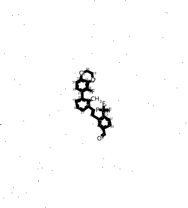 Cc1c(/C=C/c2cc(C=O)ccc2C(F)(F)F)cccc1-c1ccc2c(c1F)OCCO2